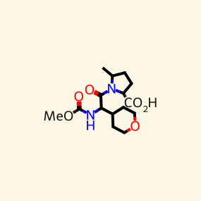 COC(=O)NC(C(=O)N1C(C)CCC1C(=O)O)C1CCOCC1